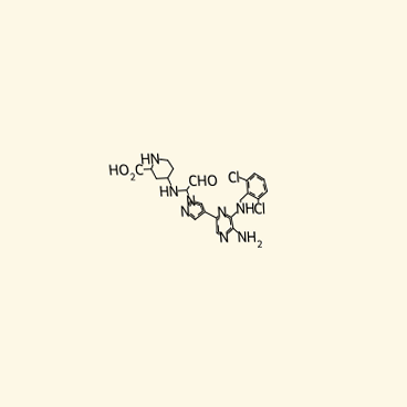 Nc1ncc(-c2cnn(C(C=O)NC3CCNC(C(=O)O)C3)c2)nc1NCc1c(Cl)cccc1Cl